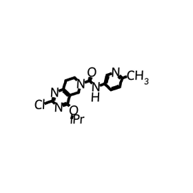 Cc1ccc(NC(=O)N2CCc3nc(Cl)nc(OC(C)C)c3C2)cn1